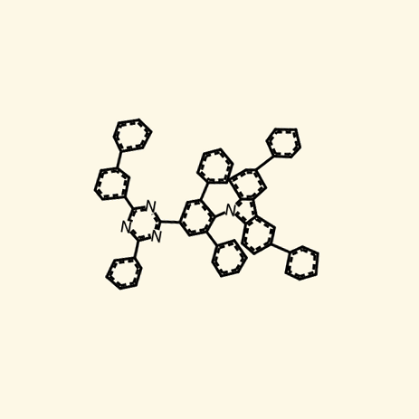 c1ccc(-c2cccc(-c3nc(-c4ccccc4)nc(-c4cc(-c5ccccc5)c(-n5c6ccc(-c7ccccc7)cc6c6cc(-c7ccccc7)ccc65)c(-c5ccccc5)c4)n3)c2)cc1